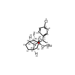 CN(c1cnc(Cl)cn1)C1C[C@H]2CC[C@@H]([C@@H]1F)N2C(=O)OC(C)(C)C